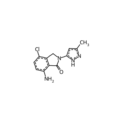 Cc1cc(N2Cc3c(Cl)ccc(N)c3C2=O)[nH]n1